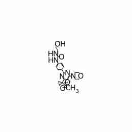 CS(=O)(=O)C1(c2cc(N3CCOCC3)nc(-c3ccc(NC(=O)NCCO)cc3)n2)CC1